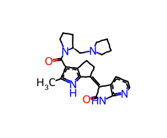 Cc1[nH]c2c(c1C(=O)N1CCC[C@H]1CN1CCCC1)CC/C2=C1/C(=O)Nc2ncccc21